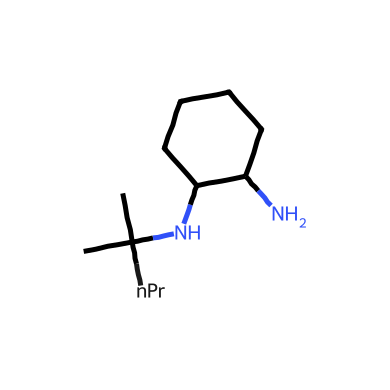 CCCC(C)(C)NC1CCCCC1N